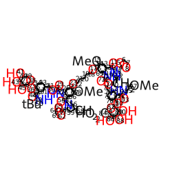 C=C1C[C@@H](C2OCCO2)N(C(=O)c2cc(OC)c(OCCCCCOc3cc(NC(=O)OCc4ccc(O[C@@H]5OC[C@@H](O)[C@H](O)[C@H]5O)c(C(=O)NC(C)(C)C)c4)c(C(=O)N4CC(=C)C[C@H]4C4OCCO4)cc3OC)cc2NC(=O)OCc2ccc(O[C@@H]3O[C@H](C(=O)O)[C@@H](O)[C@H](O)[C@H]3O)c(C(=O)NCCOC)c2)C1